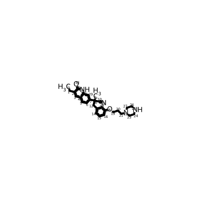 CCc1cc2ccc(C(C)(C#N)Cc3cccc(OCCCN4CCNCC4)c3)cc2[nH]c1=O